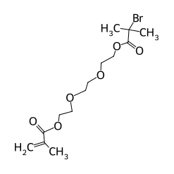 C=C(C)C(=O)OCCOCCOCCOC(=O)C(C)(C)Br